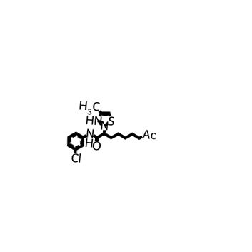 CC(=O)CCCCCC(C(=O)Nc1cccc(Cl)c1)N1NC(C)=CS1